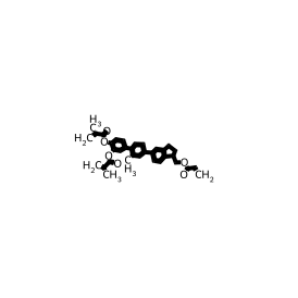 C=CC(=O)OCC1CCc2cc(-c3ccc(-c4ccc(OC(=O)C(=C)C)c(OC(=O)C(=C)C)c4)c(C)c3)ccc21